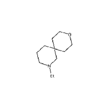 CCN1CCCC2(CCOCC2)C1